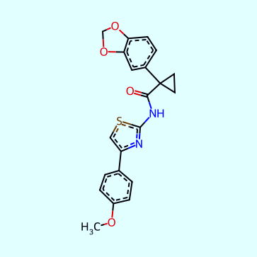 COc1ccc(-c2csc(NC(=O)C3(c4ccc5c(c4)OCO5)CC3)n2)cc1